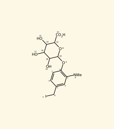 CNc1cc(CI)ccc1OC1OC(C(=O)O)C(O)C(O)C1O